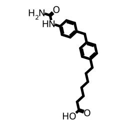 NC(=O)Nc1ccc(Cc2ccc(CCCCCCC(=O)O)cc2)cc1